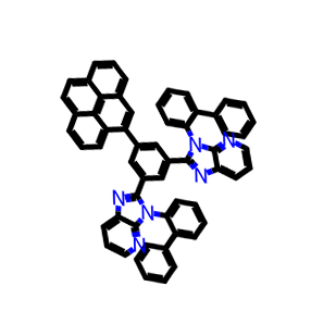 c1ccc(-c2ccccc2-n2c(-c3cc(-c4cc5cccc6ccc7cccc4c7c65)cc(-c4nc5cccnc5n4-c4ccccc4-c4ccccc4)c3)nc3cccnc32)cc1